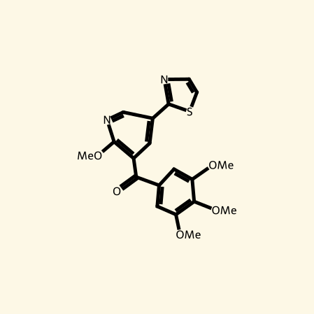 COc1cc(C(=O)c2cc(-c3nccs3)cnc2OC)cc(OC)c1OC